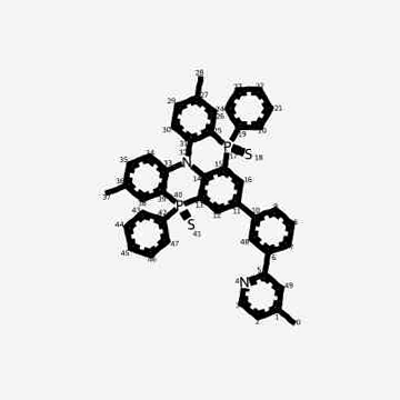 Cc1ccnc(-c2cccc(-c3cc4c5c(c3)P(=S)(c3ccccc3)c3cc(C)ccc3N5c3ccc(C)cc3P4(=S)c3ccccc3)c2)c1